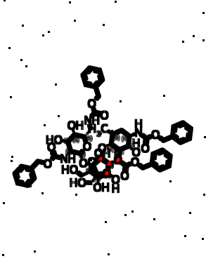 C[C@H]1C[C@@H](NC(=O)OCc2ccccc2)[C@H](O)[C@@H](O[C@@H]2O[C@H](CO)[C@@H](O[C@H]3O[C@@H](CNC(=O)OCc4ccccc4)[C@@H](O)[C@H](O)[C@H]3NC(=O)OCc3ccccc3)[C@H]2O)[C@@H]1O[C@H]1O[C@H](CO)[C@@H](O)[C@H](O)[C@H]1NC(=O)OCc1ccccc1